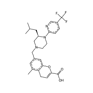 Cc1cc(CN2CCN(c3ccc(C(F)(F)F)cn3)[C@H](CC(C)C)C2)cc2c1CC=C(C(=O)O)O2